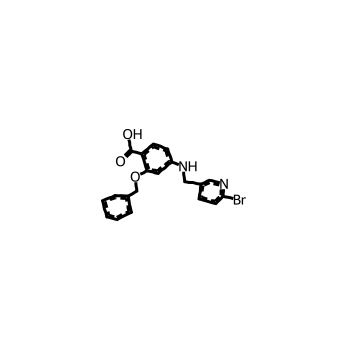 O=C(O)c1ccc(NCc2ccc(Br)nc2)cc1OCc1ccccc1